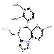 CCOC(=O)C[C@H]1C[C@H](c2cccc(OC)c2OC)c2cc(Cl)ccc2-n2cccc21